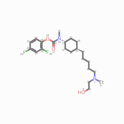 CCN(CCO)CCCCC[C@H]1CC[C@H](N(C)C(=O)Oc2ccc(F)cc2F)CC1